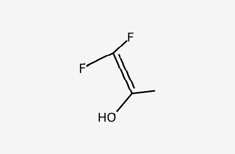 CC(O)=C(F)F